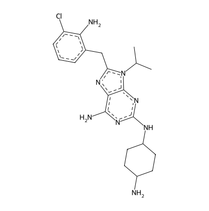 CC(C)n1c(Cc2cccc(Cl)c2N)nc2c(N)nc(NC3CCC(N)CC3)nc21